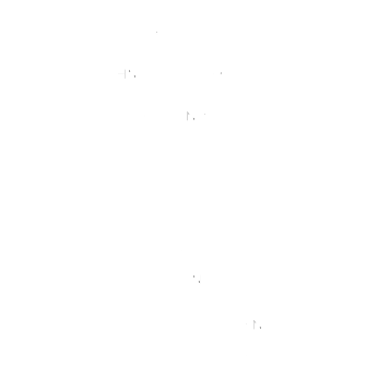 C(=CCN1CCCNC1)CN1CCCNC1